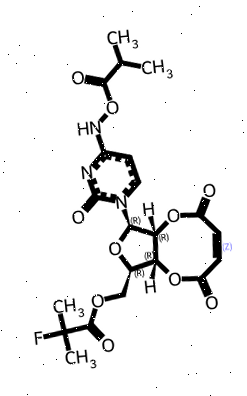 CC(C)C(=O)ONc1ccn([C@@H]2O[C@H](COC(=O)C(C)(C)F)[C@H]3OC(=O)/C=C\C(=O)O[C@H]32)c(=O)n1